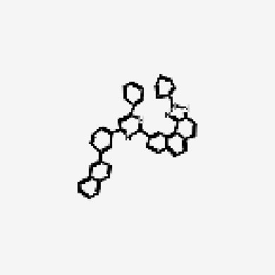 c1ccc(-c2cc(-c3cccc(-c4ccc5ccccc5c4)c3)nc(-c3ccc4ccc5ccc6nn(-c7ccccc7)nc6c5c4c3)n2)cc1